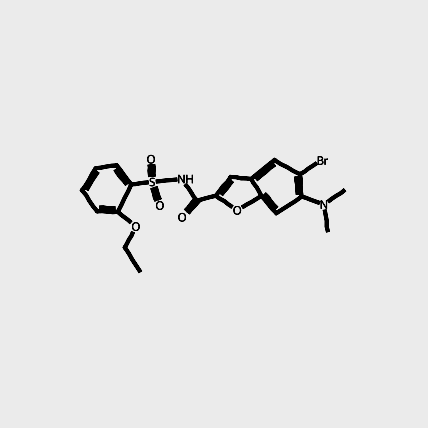 CCOc1ccccc1S(=O)(=O)NC(=O)c1cc2cc(Br)c(N(C)C)cc2o1